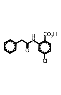 O=C(Cc1ccccc1)Nc1cc(Cl)ccc1C(=O)O